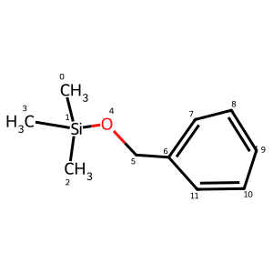 C[Si](C)(C)OCc1cc[c]cc1